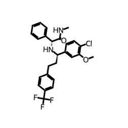 CNC(=O)[C@H](N[C@H](CCc1ccc(C(F)(F)F)cc1)c1ccc(Cl)c(OC)c1)c1ccccc1